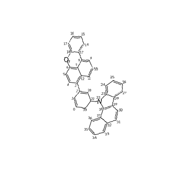 C1=CC(c2ccc3c4c(cccc24)-c2ccccc2O3)=CC(n2c3ccccc3c3ccc4ccccc4c32)C1